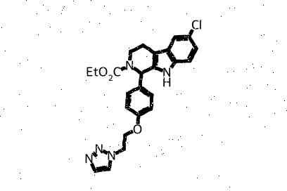 CCOC(=O)N1CCc2c([nH]c3ccc(Cl)cc23)C1c1ccc(OCCn2ccnn2)cc1